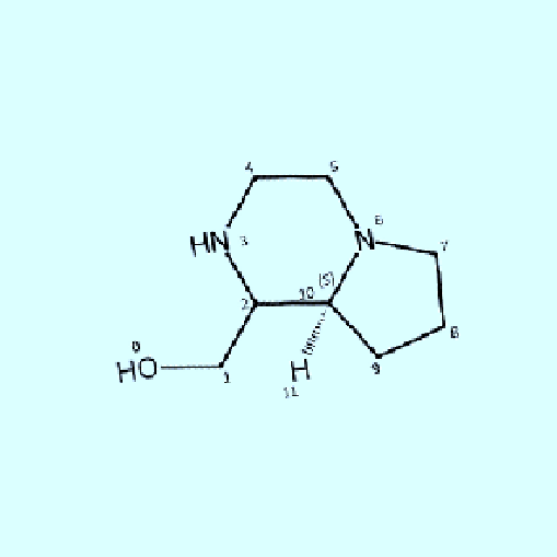 OCC1NCCN2CCC[C@@H]12